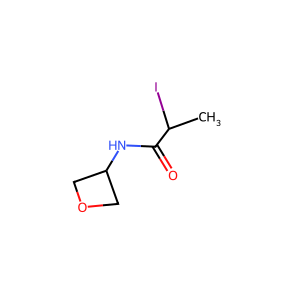 CC(I)C(=O)NC1COC1